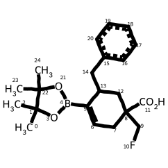 CC1(C)OB(C2=CCC(CF)(C(=O)O)CC2Cc2ccccc2)OC1(C)C